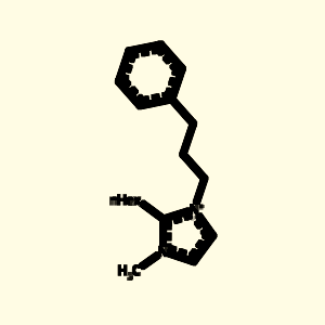 CCCCCCc1n(C)cc[n+]1CCCc1ccccc1